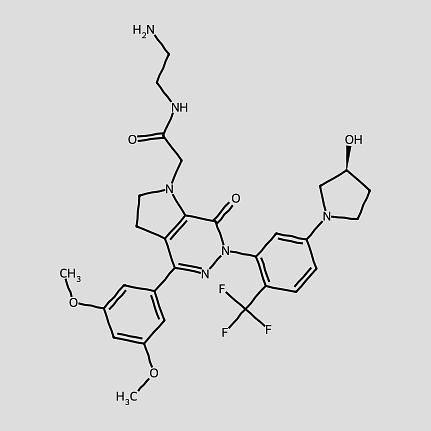 COc1cc(OC)cc(-c2nn(-c3cc(N4CC[C@H](O)C4)ccc3C(F)(F)F)c(=O)c3c2CCN3CC(=O)NCCN)c1